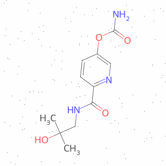 CC(C)(O)CNC(=O)c1ccc(OC(N)=O)cn1